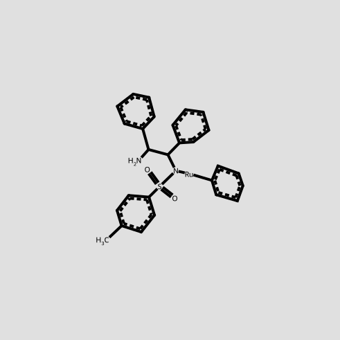 Cc1ccc(S(=O)(=O)[N]([Ru][c]2ccccc2)C(c2ccccc2)C(N)c2ccccc2)cc1